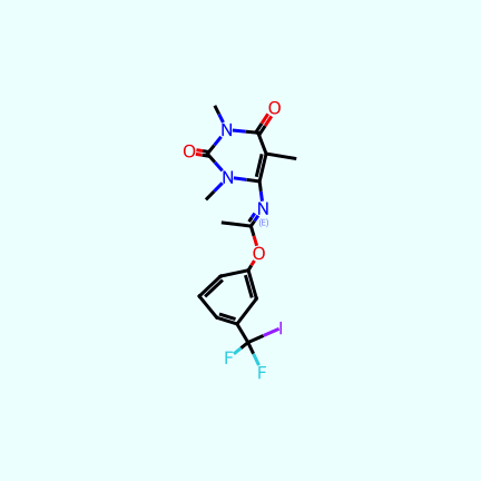 C/C(=N\c1c(C)c(=O)n(C)c(=O)n1C)Oc1cccc(C(F)(F)I)c1